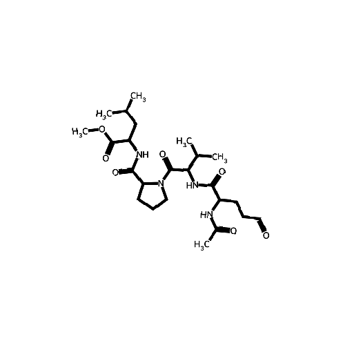 COC(=O)C(CC(C)C)NC(=O)C1CCCN1C(=O)C(NC(=O)C(CCC=O)NC(C)=O)C(C)C